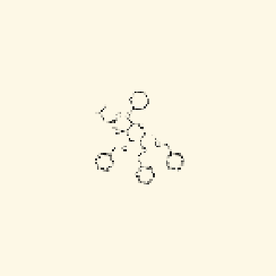 CC(C)C[PH](=O)O[C@H]1[C@@H](OC2CCCCC2)O[C@H](COCc2ccccc2)[C@@H](OCc2ccccc2)[C@@H]1OCc1ccccc1